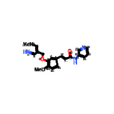 CN/C=C(\C=N)COc1cc(/C=C/C(=O)Nc2cccnc2)ccc1OC